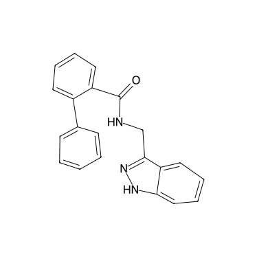 O=C(NCc1n[nH]c2ccccc12)c1ccccc1-c1ccccc1